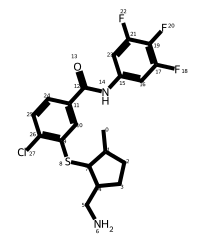 CC1CCC(CN)C1Sc1cc(C(=O)Nc2cc(F)c(F)c(F)c2)ccc1Cl